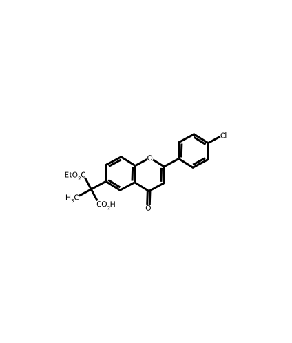 CCOC(=O)C(C)(C(=O)O)c1ccc2oc(-c3ccc(Cl)cc3)cc(=O)c2c1